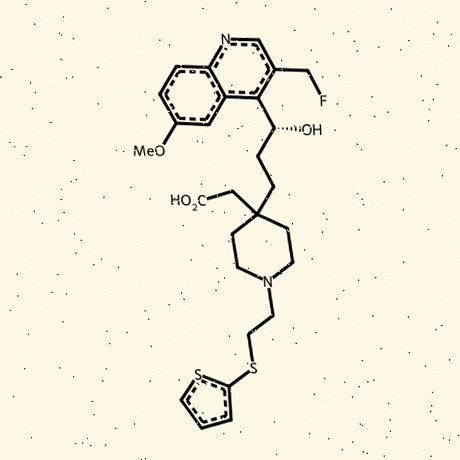 COc1ccc2ncc(CF)c([C@H](O)CCC3(CC(=O)O)CCN(CCSc4cccs4)CC3)c2c1